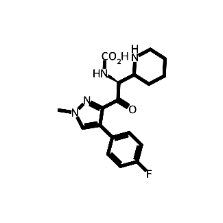 Cn1cc(-c2ccc(F)cc2)c(C(=O)[C@@H](NC(=O)O)C2CCCCN2)n1